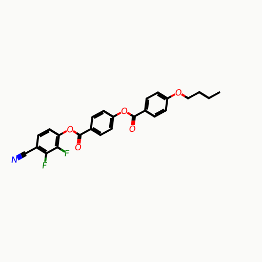 CCCCOc1ccc(C(=O)Oc2ccc(C(=O)Oc3ccc(C#N)c(F)c3F)cc2)cc1